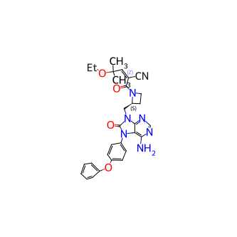 CCOC(C)(C)/C=C(/C#N)C(=O)N1CC[C@H]1Cn1c(=O)n(-c2ccc(Oc3ccccc3)cc2)c2c(N)ncnc21